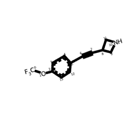 FC(F)(F)Oc1ccc(C#CC2CNC2)cc1